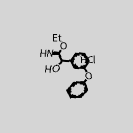 CCOC(=N)C(O)c1cccc(Oc2ccccc2)c1.Cl